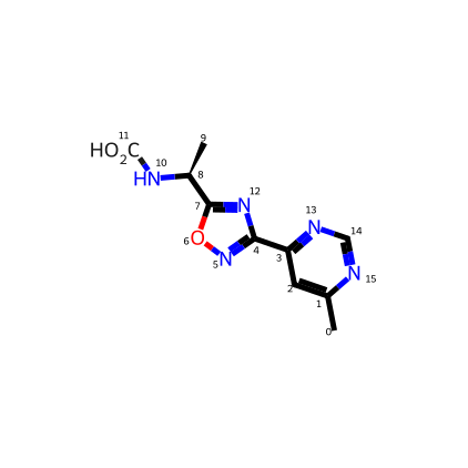 Cc1cc(-c2noc([C@H](C)NC(=O)O)n2)ncn1